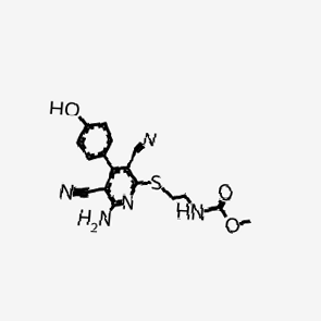 COC(=O)NCCSc1nc(N)c(C#N)c(-c2ccc(O)cc2)c1C#N